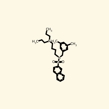 CCCN(CCC)CCCCN(Cc1cc(C)cc(C)c1)S(=O)(=O)c1ccc2ccccc2c1